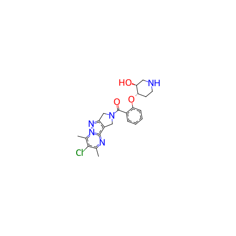 Cc1nc2c3c(nn2c(C)c1Cl)CN(C(=O)c1ccccc1O[C@H]1CCNC[C@@H]1O)C3